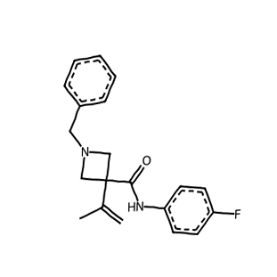 C=C(C)C1(C(=O)Nc2ccc(F)cc2)CN(Cc2ccccc2)C1